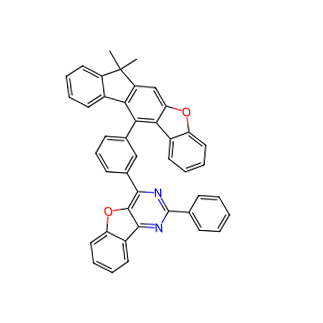 CC1(C)c2ccccc2-c2c1cc1oc3ccccc3c1c2-c1cccc(-c2nc(-c3ccccc3)nc3c2oc2ccccc23)c1